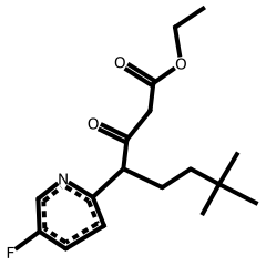 CCOC(=O)CC(=O)C(CCC(C)(C)C)c1ccc(F)cn1